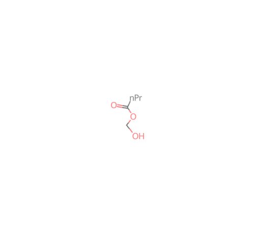 CCCC(=O)OCO